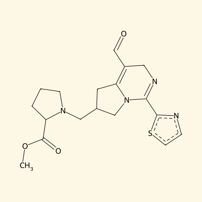 COC(=O)C1CCCN1CC1CC2=C(C=O)CN=C(c3nccs3)N2C1